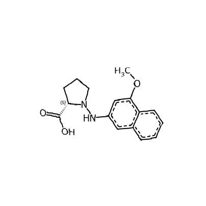 COc1cc(NN2CCC[C@H]2C(=O)O)cc2ccccc12